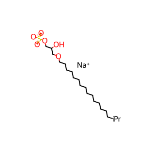 CC(C)CCCCCCCCCCCCCCCOCC(O)COS(=O)(=O)[O-].[Na+]